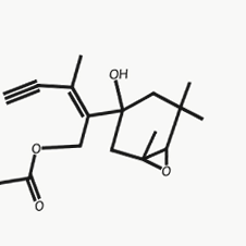 C#C/C(C)=C(\COC(C)=O)C1(O)CC(C)(C)C2OC2(C)C1